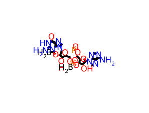 BCOC1C(O)C(COP(B)(=O)OC2C(COP=O)OC(n3cnc4c(N)ncnc43)C2O)OC1n1cnc2c(=O)[nH]c(N)nc21